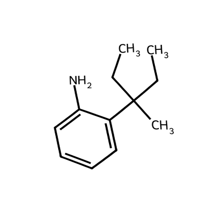 CCC(C)(CC)c1ccccc1N